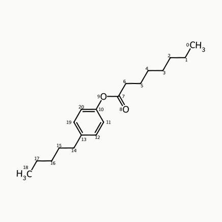 CCCCCCCC(=O)Oc1ccc(CCCCC)cc1